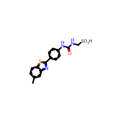 Cc1ccc2sc(-c3ccc(NC(=O)NCS(=O)(=O)O)cc3)nc2c1